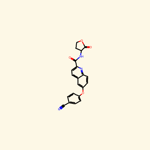 N#Cc1ccc(Oc2ccc3nc(C(=O)NC4CCOC4=O)ccc3c2)cc1